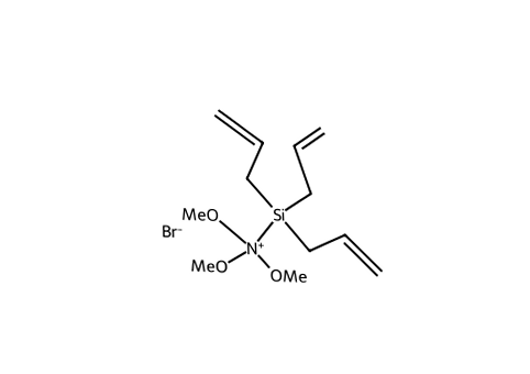 C=CC[Si](CC=C)(CC=C)[N+](OC)(OC)OC.[Br-]